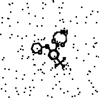 FC(F)(F)c1ccc(OC2CCCCO2)c(B2OCCNCCO2)c1